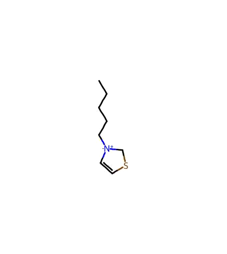 CCCCC[N+]1C=CSC1